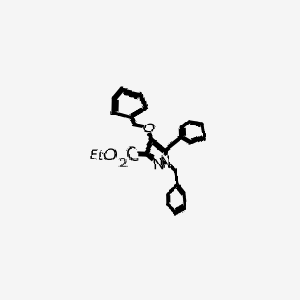 CCOC(=O)c1nn(Cc2ccccc2)c(-c2ccccc2)c1OCc1ccccc1